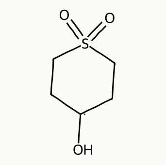 O=S1(=O)CC[C](O)CC1